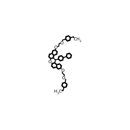 C=Cc1ccc(COCCOc2ccc3c4c(ccc3c2)Oc2ccc3cc(OCCOCc5ccc(C=C)cc5)ccc3c2C4c2ccc(-c3ccccc3)cc2)cc1